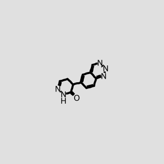 O=C1NN=CCC1c1ccc2nnncc2c1